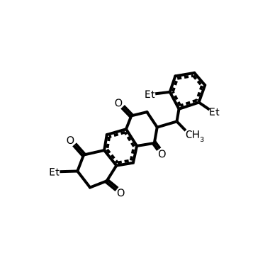 CCc1cccc(CC)c1C(C)C1CC(=O)c2cc3c(cc2C1=O)C(=O)CC(CC)C3=O